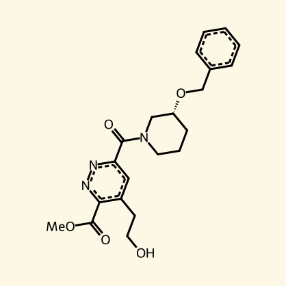 COC(=O)c1nnc(C(=O)N2CCC[C@@H](OCc3ccccc3)C2)cc1CCO